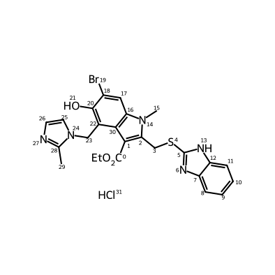 CCOC(=O)c1c(CSc2nc3ccccc3[nH]2)n(C)c2cc(Br)c(O)c(Cn3ccnc3C)c12.Cl